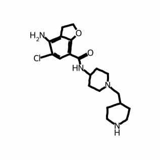 Nc1c(Cl)cc(C(=O)NC2CCN(CC3CCNCC3)CC2)c2c1CCO2